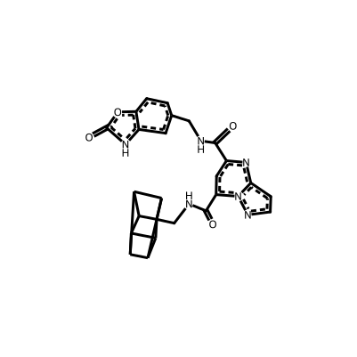 O=C(NCc1ccc2oc(=O)[nH]c2c1)c1cc(C(=O)NCC23C4C5C6C4C2C6C53)n2nccc2n1